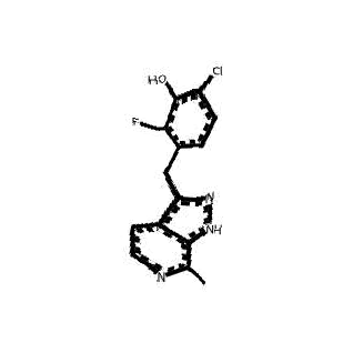 Cc1nccc2c(Cc3ccc(Cl)c(O)c3F)n[nH]c12